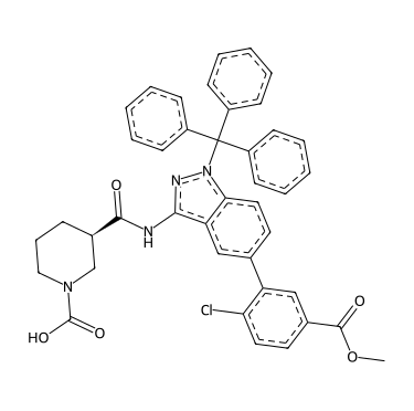 COC(=O)c1ccc(Cl)c(-c2ccc3c(c2)c(NC(=O)[C@@H]2CCCN(C(=O)O)C2)nn3C(c2ccccc2)(c2ccccc2)c2ccccc2)c1